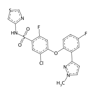 Cn1ccc(-c2cc(F)ccc2Oc2cc(F)c(S(=O)(=O)Nc3cscn3)cc2Cl)n1